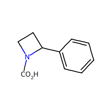 O=C(O)N1CCC1c1ccccc1